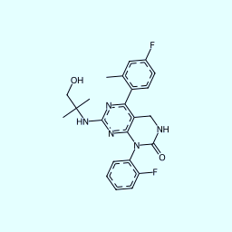 Cc1cc(F)ccc1-c1nc(NC(C)(C)CO)nc2c1CNC(=O)N2c1ccccc1F